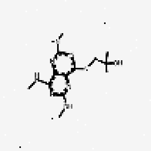 CNc1nc(NCC(C)(C)O)c2nc(NC)nc(NC)c2n1